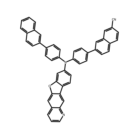 N#Cc1ccc2ccc(-c3ccc(N(c4ccc(-c5ccc6ccccc6c5)cc4)c4ccc5c(c4)oc4cc6cccnc6cc45)cc3)cc2c1